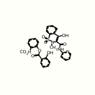 CN1C(C(=O)Nc2ccccn2)=C(O)c2ccccc2S1(=O)=O.O=C(Oc1ccccc1C(=O)O)c1ccccc1O